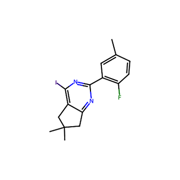 Cc1ccc(F)c(-c2nc(I)c3c(n2)CC(C)(C)C3)c1